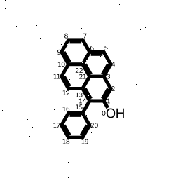 Oc1cc2ccc3cccc4ccc(c1-c1ccccc1)c2c34